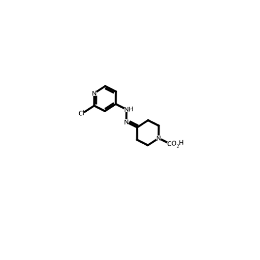 O=C(O)N1CCC(=NNc2ccnc(Cl)c2)CC1